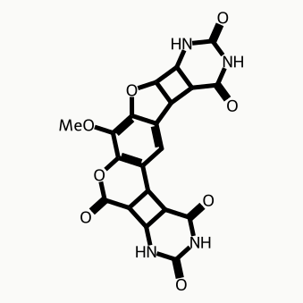 COc1c2c(cc3c1OC(=O)C1C4NC(=O)NC(=O)C4C31)C1C(O2)C2NC(=O)NC(=O)C21